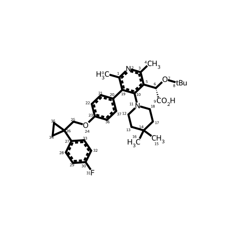 Cc1nc(C)c([C@H](OC(C)(C)C)C(=O)O)c(N2CCC(C)(C)CC2)c1-c1ccc(OCC2(c3ccc(F)cc3)CC2)cc1